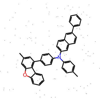 Cc1ccc(N(c2ccc(-c3cc(C)cc4oc5ccccc5c34)cc2)c2ccc3cc(-c4ccccc4)ccc3c2)cc1